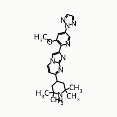 COc1cc(-n2nccn2)cnc1-c1cn2ccc(C3CC(C)(C)NC(C)(C)C3)nc2n1